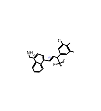 Cc1cc(C(/C=C/c2ccc(CN)c3ccccc23)C(F)(F)F)cc(Cl)c1C